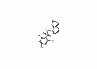 CC(C)c1cc(C(C)C)c(S(=O)(=O)Nc2cccc3cccnc23)c(C(C)C)c1